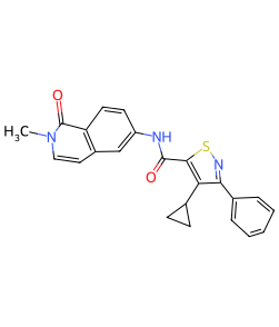 Cn1ccc2cc(NC(=O)c3snc(-c4ccccc4)c3C3CC3)ccc2c1=O